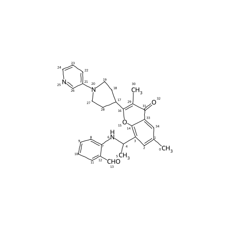 Cc1cc(C(C)Nc2ccccc2C=O)c2oc(C3CCN(c4cccnc4)CC3)c(C)c(=O)c2c1